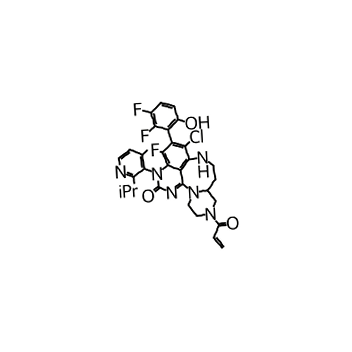 C=CC(=O)N1CCN2c3nc(=O)n(-c4c(C)ccnc4C(C)C)c4c(F)c(-c5c(O)ccc(F)c5F)c(Cl)c(c34)NCCC2C1